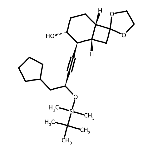 CC(C)(C)[Si](C)(C)O[C@H](C#C[C@@H]1[C@H]2CC3(OCCO3)[C@H]2CC[C@H]1O)CC1CCCC1